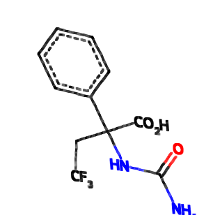 NC(=O)NC(CC(F)(F)F)(C(=O)O)c1ccccc1